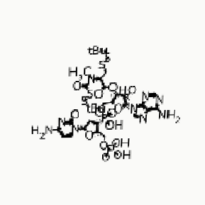 CN(C(=O)SSC(C)(C)C)[C@@H](CSSC(C)(C)C)C(=O)O[C@@H]1C(COP(=O)(O)[C@H]2C[C@H](n3ccc(N)nc3=O)O[C@@H]2COP(=O)(O)O)O[C@@H](n2cnc3c(N)ncnc32)[C@@H]1O